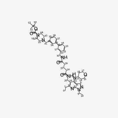 CCc1nc2c(cnn2CC)c(NC2CCOCC2)c1CNC(=O)CCCC(=O)NCc1cccc(-c2cccc(CN3CCN(C(=O)OC(C)(C)C)C(C)C3)c2)c1